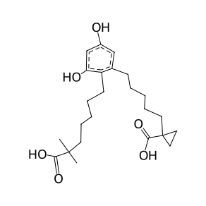 CC(C)(CCCCCc1c(O)cc(O)cc1CCCCCC1(C(=O)O)CC1)C(=O)O